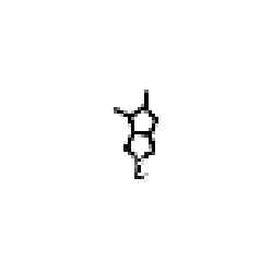 CC(=O)N1CC2CC(C)C(C)C2C1